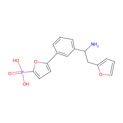 NC(Cc1ccco1)c1cccc(-c2ccc(P(=O)(O)O)o2)c1